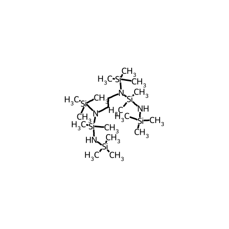 C[Si](C)(C)N[Si](C)(C)N(CCN([Si](C)(C)C)[Si](C)(C)N[Si](C)(C)C)[Si](C)(C)C